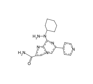 NC(=O)c1cn2cc(-c3ccncc3)nc(N(N)C3CCCCC3)c2n1